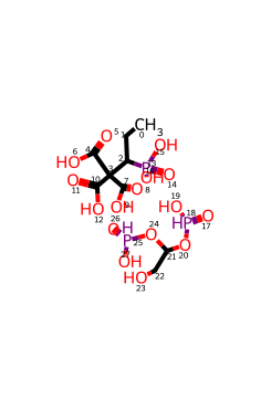 CCC(C(C(=O)O)(C(=O)O)C(=O)O)P(=O)(O)O.O=[PH](O)OC(CO)O[PH](=O)O